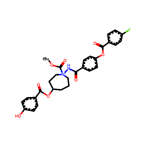 CC(C)(C)OC(=O)[N+]1(NC(=O)c2ccc(OC(=O)c3ccc(F)cc3)cc2)CCCC(OC(=O)c2ccc(O)cc2)CC1